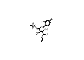 CCOC(=O)C1=C(Cl)C(=NOS(C)(=O)=O)CC(c2ccc(Cl)cc2F)N1